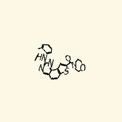 Cc1ccccc1Nc1ncc2ccc3sc(C(=O)N4CCOCC4)cc3c2n1